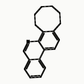 c1ccc2c(c1)cnc1c3c(ccc12)CCCCCC3